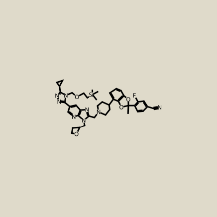 CC1(c2ccc(C#N)cc2F)Oc2cccc(C3CCN(Cc4nc5cc(-c6nnc(C7CC7)n6COCC[Si](C)(C)C)cnc5n4C[C@@H]4CCO4)CC3)c2O1